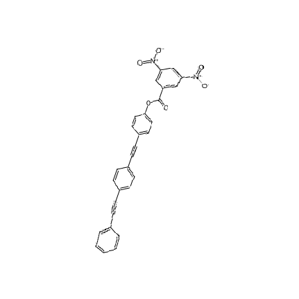 O=C(Oc1ccc(C#Cc2ccc(C#Cc3ccccc3)cc2)cc1)c1cc([N+](=O)[O-])cc([N+](=O)[O-])c1